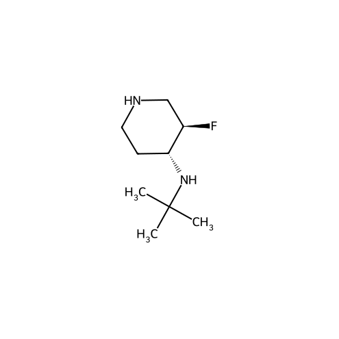 CC(C)(C)N[C@@H]1CCNC[C@H]1F